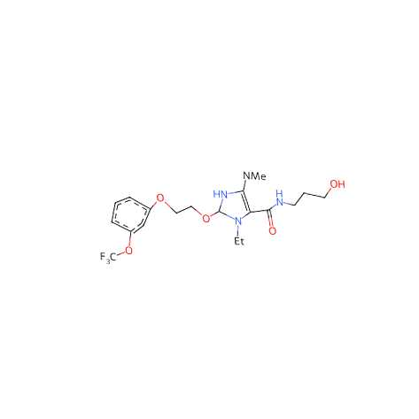 CCN1C(C(=O)NCCCO)=C(NC)NC1OCCOc1cccc(OC(F)(F)F)c1